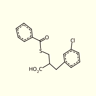 O=C(SCC(Cc1cccc(Cl)c1)C(=O)O)c1ccccc1